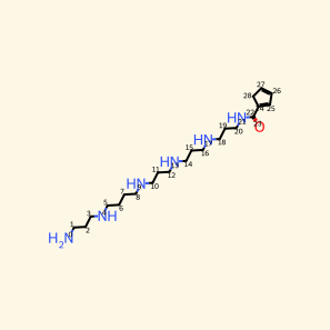 NCCCNCCCCNCCCNCCCNCCCNC(=O)C1=CC=CC1